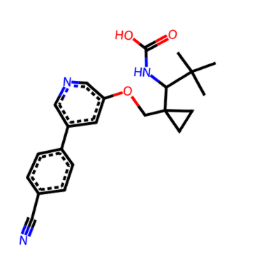 CC(C)(C)C(NC(=O)O)C1(COc2cncc(-c3ccc(C#N)cc3)c2)CC1